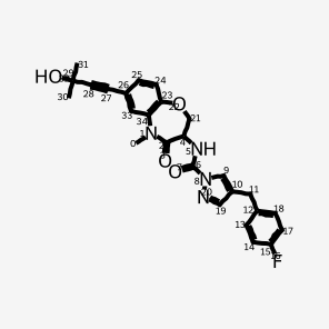 CN1C(=O)C(NC(=O)n2cc(Cc3ccc(F)cc3)cn2)COc2ccc(C#CC(C)(C)O)cc21